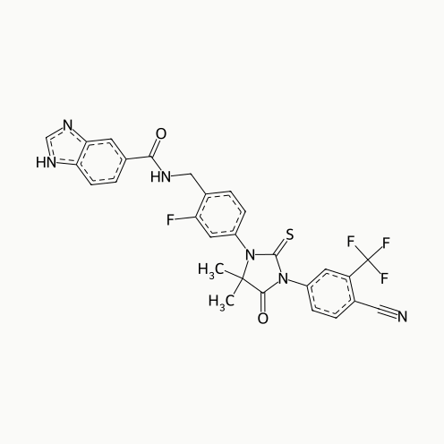 CC1(C)C(=O)N(c2ccc(C#N)c(C(F)(F)F)c2)C(=S)N1c1ccc(CNC(=O)c2ccc3[nH]cnc3c2)c(F)c1